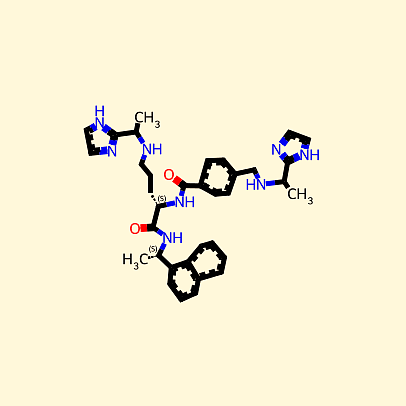 CC(NCCC[C@H](NC(=O)c1ccc(CNC(C)c2ncc[nH]2)cc1)C(=O)N[C@@H](C)c1cccc2ccccc12)c1ncc[nH]1